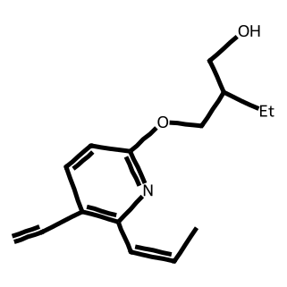 C=Cc1ccc(OCC(CC)CO)nc1/C=C\C